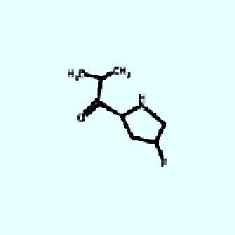 CC(C)C(=O)[C@@H]1CC(F)CN1